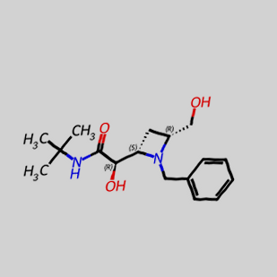 CC(C)(C)NC(=O)[C@H](O)[C@@H]1C[C@H](CO)N1Cc1ccccc1